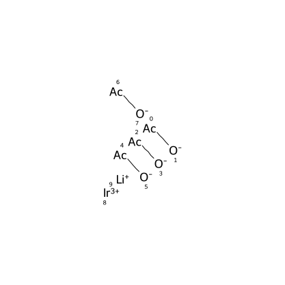 CC(=O)[O-].CC(=O)[O-].CC(=O)[O-].CC(=O)[O-].[Ir+3].[Li+]